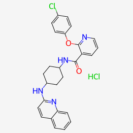 Cl.O=C(NC1CCC(Nc2ccc3ccccc3n2)CC1)c1cccnc1Oc1ccc(Cl)cc1